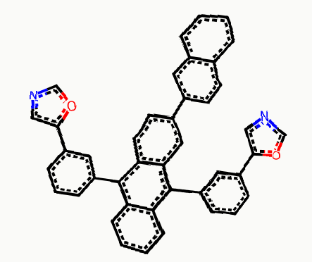 c1cc(-c2cnco2)cc(-c2c3ccccc3c(-c3cccc(-c4cnco4)c3)c3cc(-c4ccc5ccccc5c4)ccc23)c1